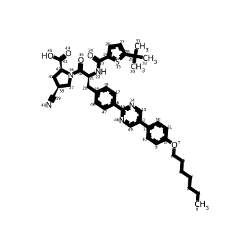 CCCCCCCOc1ccc(-c2cnc(-c3ccc(C[C@H](NC(=O)c4ccc(C(C)(C)C)s4)C(=O)N4C[C@@H](C#N)C[C@H]4C(=O)O)cc3)nc2)cc1